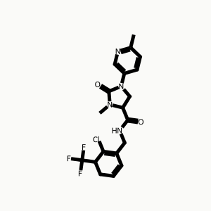 Cc1ccc(N2CC(C(=O)NCC3=C(Cl)C(C(F)(F)F)CC=C3)N(C)C2=O)cn1